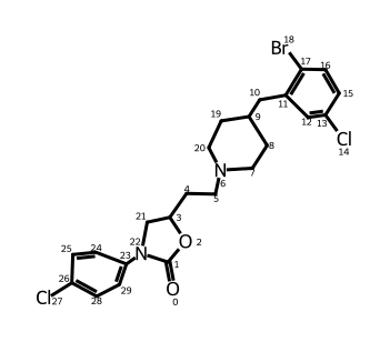 O=C1OC(CCN2CCC(Cc3cc(Cl)ccc3Br)CC2)CN1c1ccc(Cl)cc1